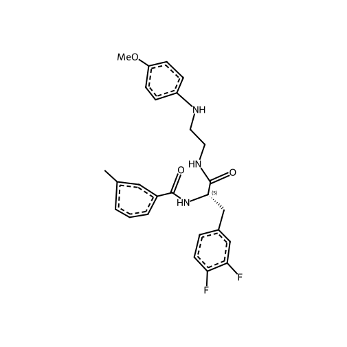 COc1ccc(NCCNC(=O)[C@H](Cc2ccc(F)c(F)c2)NC(=O)c2cccc(C)c2)cc1